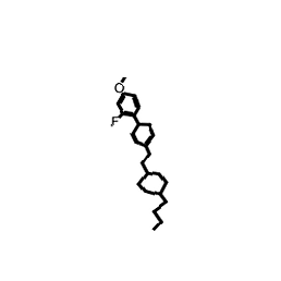 CCCCC1CCC(CCC2=CCC(c3ccc(OC)cc3F)CC2)CC1